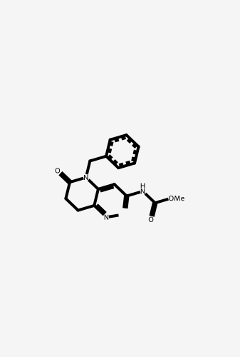 C=C(/C=C1\C(=N/C)CCC(=O)N1Cc1ccccc1)NC(=O)OC